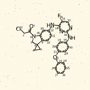 O=C(CCl)N1CC2(CC2)c2ccc(Nc3nc(Nc4ccc(Oc5ccccc5)cc4)ncc3F)cc21